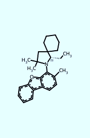 CC[C@@H]1N(c2c(C)ccc3c2oc2ccccc23)C(C)(C)CC12CCCCC2